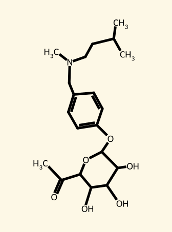 CC(=O)C1OC(Oc2ccc(CN(C)CCC(C)C)cc2)C(O)C(O)C1O